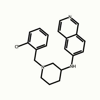 Clc1ccccc1CN1CCCC(Nc2ccc3cnccc3c2)C1